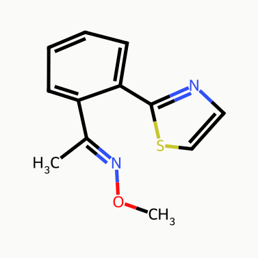 CON=C(C)c1ccccc1-c1nccs1